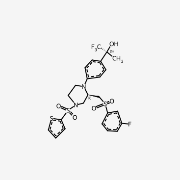 C[C@](O)(c1ccc(N2CCN(S(=O)(=O)c3cccs3)C[C@@H]2CS(=O)(=O)c2cccc(F)c2)cc1)C(F)(F)F